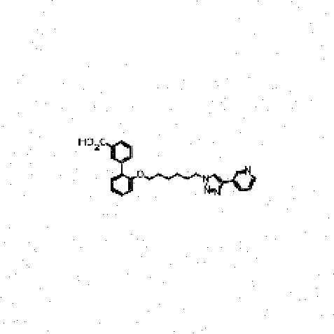 O=C(O)c1cccc(-c2ccccc2OCCCCCCn2cc(-c3cccnc3)nn2)c1